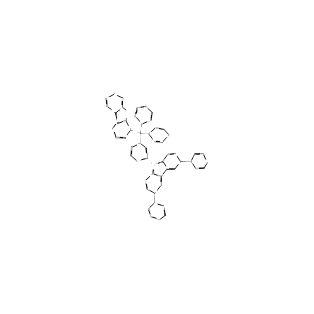 c1ccc(-c2ccc3c(c2)c2cc(-c4ccccc4)ccc2n3-c2ccc3c(c2)C(c2ccccc2)(c2ccccc2)c2c-3ccc3c2oc2ccccc23)cc1